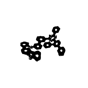 c1ccc(-c2ccc(-c3nc(-c4ccccc4)nc(-c4cccc(-c5cccc(-n6c7ccccc7c7ccc8sc9ccccc9c8c76)c5)c4)n3)c(-c3ccccc3)c2)cc1